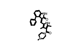 Cc1[nH]c(C=C2C(=O)Nc3cccc(-c4ccccc4)c32)c(C)c1C(=O)N1CCN(C)CC1